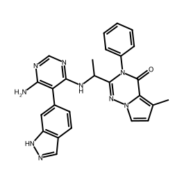 Cc1ccn2nc(C(C)Nc3ncnc(N)c3-c3ccc4cn[nH]c4c3)n(-c3ccccc3)c(=O)c12